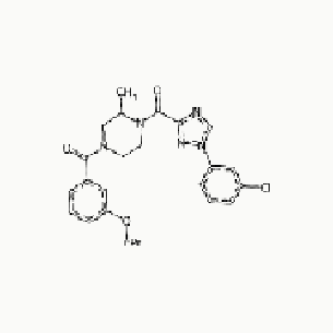 CCCOc1cccc(C(=O)N2CCN(C(=O)c3ncn(-c4cccc(Cl)c4)n3)C(C)C2)c1